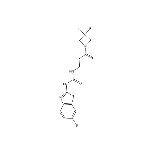 O=C(NCCC(=O)N1CC(F)(F)C1)Nc1nc2ccc(Br)cc2s1